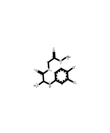 CC(Nc1ccc(Cl)c(Cl)c1)C(=O)OCC(=O)OC(C)(C)C